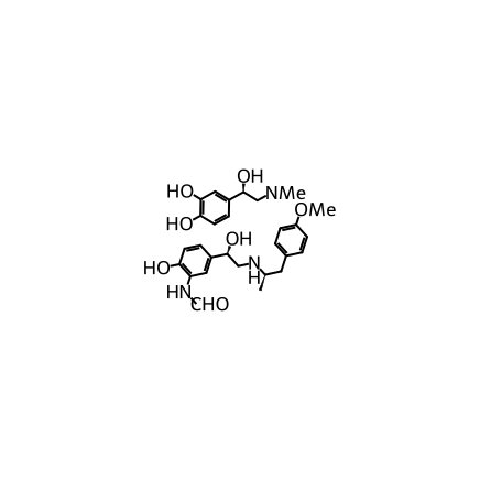 CNC[C@H](O)c1ccc(O)c(O)c1.COc1ccc(C[C@@H](C)NC[C@H](O)c2ccc(O)c(NC=O)c2)cc1